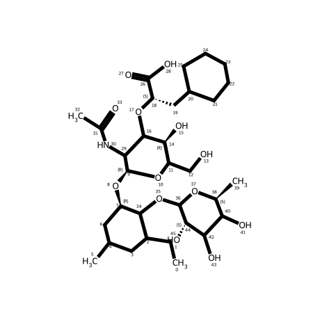 CCC1CC(C)C[C@@H](O[C@@H]2OC(CO)[C@H](O)C(O[C@@H](CC3CCCCC3)C(=O)O)C2NC(C)=O)C1OC1O[C@@H](C)C(O)C(O)[C@@H]1O